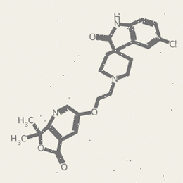 CC1(C)OC(=O)c2cc(OCCN3CCC4(CC3)C(=O)Nc3ccc(Cl)cc34)cnc21